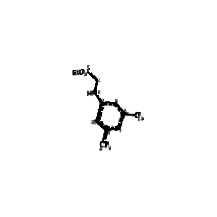 CCOC(=O)CNc1cc(C(F)(F)F)cc(C(F)(F)F)c1